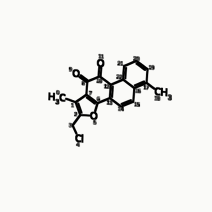 Cc1c(CCl)oc2c1C(=O)C(=O)c1c-2ccc2c(C)cccc12